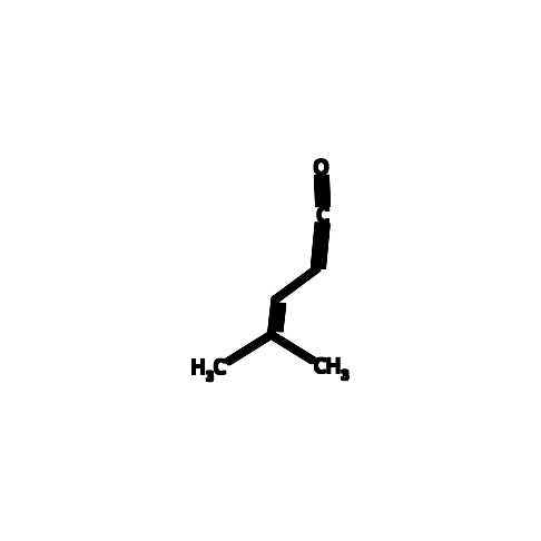 CC(C)=CC=C=O